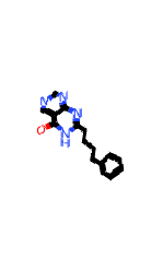 O=c1[nH]c(CCCCc2ccccc2)nc2ncncc12